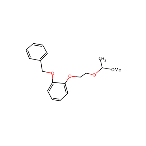 COC(C)OCCOc1ccccc1OCc1ccccc1